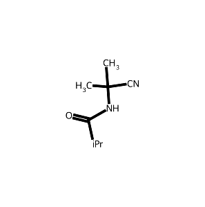 CC(C)C(=O)NC(C)(C)C#N